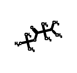 CN(C)C(C)(C)C(=O)OC(C)(C)C